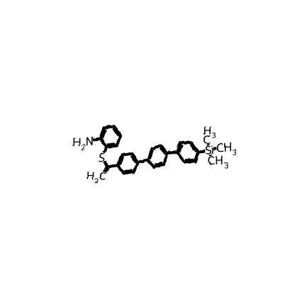 C=C(Sc1ccccc1N)c1ccc(-c2ccc(-c3ccc([Si](C)(C)C)cc3)cc2)cc1